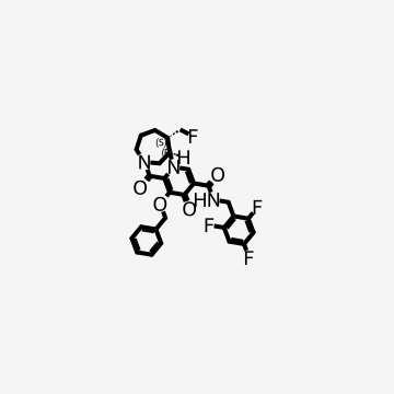 O=C(NCc1c(F)cc(F)cc1F)c1cn2c(c(OCc3ccccc3)c1=O)C(=O)N1CCC[C@H](CF)[C@@H]2C1